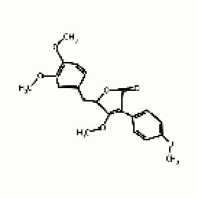 COC1=C(c2ccc(OC)cc2)C(=O)OC1Cc1ccc(OC)c(OC)c1